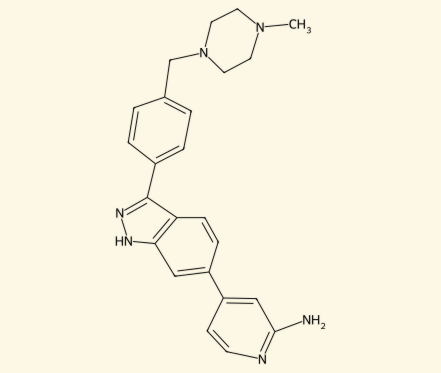 CN1CCN(Cc2ccc(-c3n[nH]c4cc(-c5ccnc(N)c5)ccc34)cc2)CC1